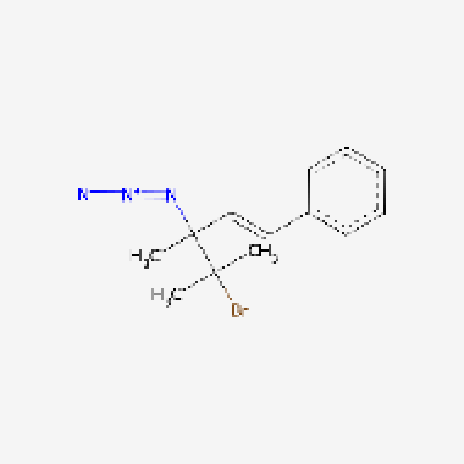 CC(C)(Br)C(C)(/C=C/c1ccccc1)N=[N+]=[N-]